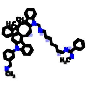 C=NCc1cccc(-n2c3ccccc3c3c4c(ccc32)C(C)(c2ccccc2)C(=C)c2c(n(C/N=C/C=C/CC/C=C\N=C(/N=C)c3ccccc3)c3ccccc23)/C=C\4)c1